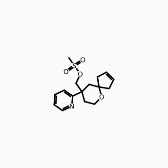 CS(=O)(=O)OCC1(c2ccccn2)CCOC2(CC=CC2)C1